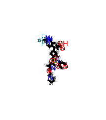 Cc1ccc([C@H](c2ccn3c(C(F)(F)F)nnc3c2C)C(C)(C)C(=O)O)cc1CN1CC2(CCOCC2)Oc2nc(OCCN3CCCC3)c(C)cc2S1(=O)=O